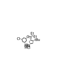 CC[C](CC)=[Ti]([O]c1cc(Cl)cc(C(C)(C)C)c1)[C]1=C(C(C)(C)C)C=CC1.Cl.Cl